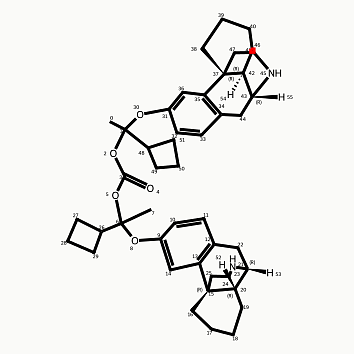 CC(OC(=O)OC(C)(Oc1ccc2c(c1)[C@@]13CCCC[C@H]1[C@@H](C2)NCC3)C1CCC1)(Oc1ccc2c(c1)[C@@]13CCCC[C@H]1[C@@H](C2)NCC3)C1CCC1